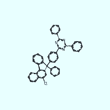 Clc1cc2c(c3ccccc13)-c1ccccc1C2(c1ccccc1)c1ccc(-c2nc(-c3ccccc3)nc(-c3ccccc3)n2)cc1